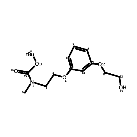 CN(CCOc1cccc(OCCO)c1)C(=O)OC(C)(C)C